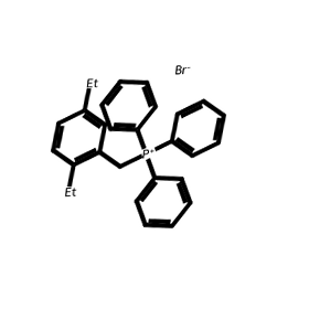 CCc1ccc(CC)c(C[P+](c2ccccc2)(c2ccccc2)c2ccccc2)c1.[Br-]